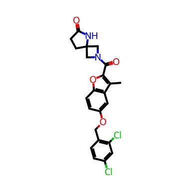 Cc1c(C(=O)N2CC3(CCC(=O)N3)C2)oc2ccc(OCc3ccc(Cl)cc3Cl)cc12